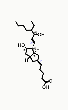 CCCCC(CC)[C@@H](O)/C=C/[C@@H]1[C@H]2C/C(=C/CCCC(=O)O)C[C@@H]2C[C@H]1O